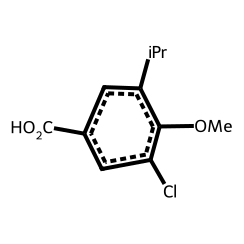 COc1c(Cl)cc(C(=O)O)cc1C(C)C